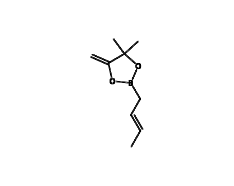 C=C1OB(CC=CC)OC1(C)C